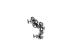 O=C1CCC(N2Cc3cc(OC[C@H]4CCCN4)ccc3C2=O)C(=O)N1